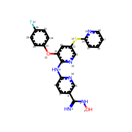 N=C(NO)c1ccc(Nc2ncc(Sc3ccccn3)cc2Oc2ccc(F)cc2)nc1